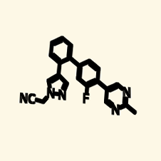 Cc1ncc(-c2ccc(-c3ccccc3-c3cnn(CC#N)c3)cc2F)cn1